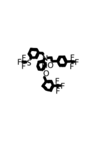 OC(CN(Cc1cccc(SC(F)(F)F)c1)c1cccc(OCc2cccc(C(F)(F)F)c2)c1)c1ccc(C(F)(F)F)cc1